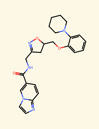 O=C(NCC1=NOC(COc2ccccc2N2CCCCC2)C1)c1ccc2nccn2c1